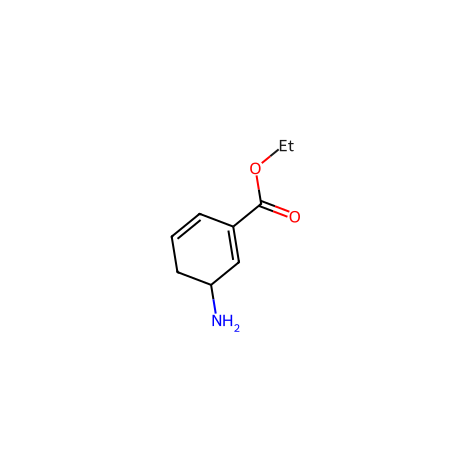 CCOC(=O)C1=CC(N)CC=C1